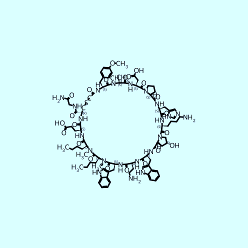 CCCC[C@H]1C(=O)N(C)[C@@H](CCCC)C(=O)N[C@@H](CCC(=O)O)C(=O)N[C@H](C(=O)NCC(N)=O)CSCC(=O)N[C@@H](Cc2ccc(OC)cc2)C(=O)N(C)[C@@H](C)C(=O)N[C@@H](CC(=O)O)C(=O)N2CCC[C@H]2C(=O)N[C@@H](Cc2cnc[nH]2)C(=O)N[C@@H](CCCCN)C(=O)N2C[C@H](O)C[C@H]2C(=O)N[C@@H](Cc2c[nH]c3ccccc23)C(=O)N[C@@H](CCN)C(=O)N[C@@H](Cc2c[nH]c3ccccc23)C(=O)N1C